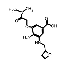 CN(C)C(=O)COc1cc(C(=O)O)cc(NC[C@@H]2CCO2)c1N